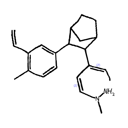 C=Cc1cc(C2C3CCC(C3)C2C(/C=C\N(C)N)=C/C)ccc1C